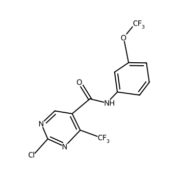 O=C(Nc1cccc(OC(F)(F)F)c1)c1cnc(Cl)nc1C(F)(F)F